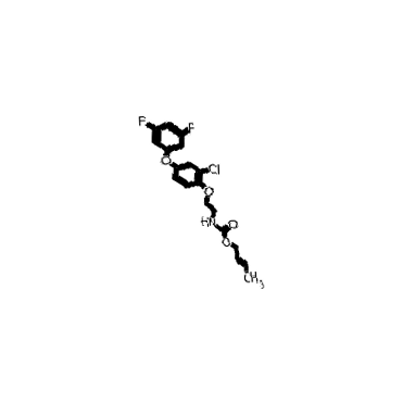 C/C=C/COC(=O)NCCOc1ccc(Oc2cc(F)cc(F)c2)cc1Cl